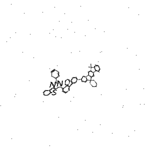 CC1(C)c2ccccc2-c2cc3c(cc21)-c1cc(-c2ccc4oc5c(-c6nc(C7C=CC=CC7)nc7c6sc6ccccc67)cccc5c4c2)ccc1C31CCCCC1